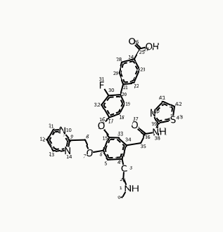 CNCCc1cc(OCc2ncccn2)c(Oc2ccc(-c3ccc(C(=O)O)cc3)c(F)c2)cc1CC(=O)Nc1nccs1